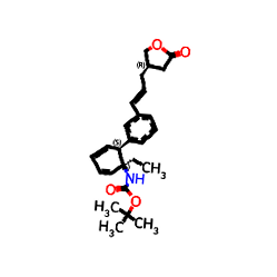 CC[C@]1(NC(=O)OC(C)(C)C)C=CC=C[C@H]1c1cccc(C=CC[C@H]2COC(=O)C2)c1